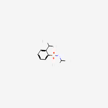 CC(C)NS(=O)(=O)c1ccccc1C(C)C